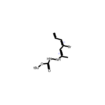 C=C/C=C(Br)\C=C(/C)NNC(=O)OC(C)(C)C